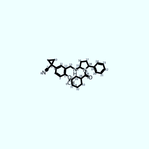 COc1ccc(C2(C#N)CC2)cc1CNC1CCC(c2ccccc2)N1C(=O)C1CCCCC1